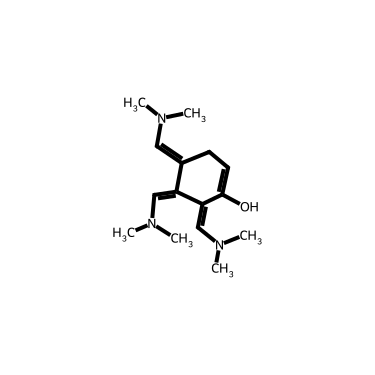 CN(C)C=C1CC=C(O)C(=CN(C)C)C1=CN(C)C